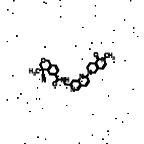 Cn1ccc2c(c1=O)CCN(c1ccc3cnc(CNC(=O)c4ccc5c(c4)[C@](C)(C#N)COC5)cc3n1)C2